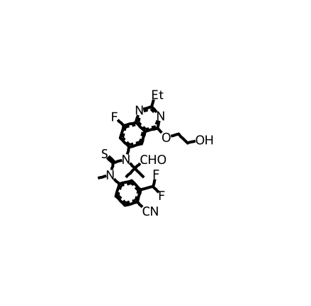 CCc1nc(OCCO)c2cc(N(C(=S)N(C)c3ccc(C#N)c(C(F)F)c3)C(C)(C)C=O)cc(F)c2n1